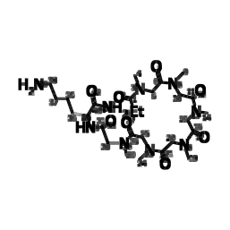 CCC(=O)N(C)CC(=O)N(C)CC(=O)N(C)CC(=O)N(C)CC(=O)N(C)CC(=O)N(C)CC(=O)N[C@H](CCCCN)C(N)=O